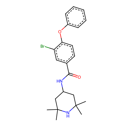 CC1(C)CC(NC(=O)c2ccc(Oc3ccccc3)c(Br)c2)CC(C)(C)N1